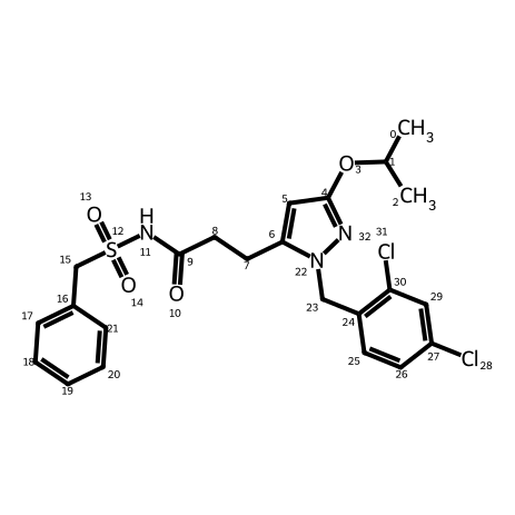 CC(C)Oc1cc(CCC(=O)NS(=O)(=O)Cc2ccccc2)n(Cc2ccc(Cl)cc2Cl)n1